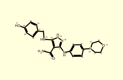 NC(=O)c1c(Nc2ccc(N3CCOCC3)cc2)n[nH]c1NCc1ccc(O)cc1